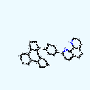 c1cnc2c(c1)ccc1ccc(-c3ccc(-c4cccc5c6ccccc6c6ccccc6c45)cc3)nc12